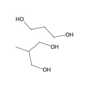 CC(CO)CO.OCCCO